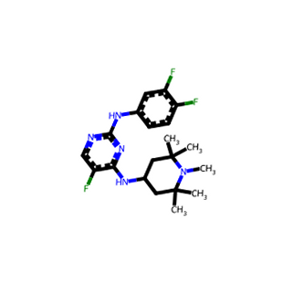 CN1C(C)(C)CC(Nc2nc(Nc3ccc(F)c(F)c3)ncc2F)CC1(C)C